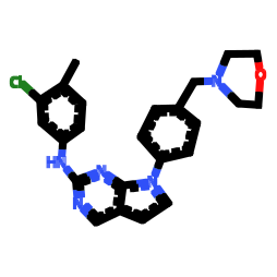 Cc1ccc(Nc2ncc3ccn(-c4ccc(CN5CCOCC5)cc4)c3n2)cc1Cl